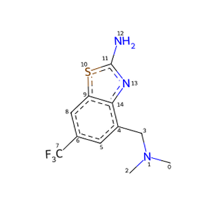 CN(C)Cc1cc(C(F)(F)F)cc2sc(N)nc12